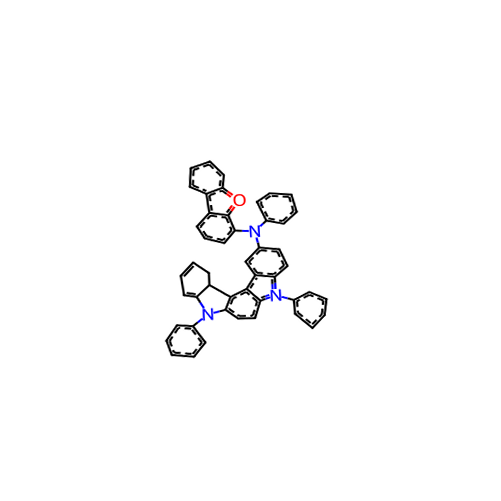 C1=CCC2C(=C1)N(c1ccccc1)c1ccc3c(c12)c1cc(N(c2ccccc2)c2cccc4c2oc2ccccc24)ccc1n3-c1ccccc1